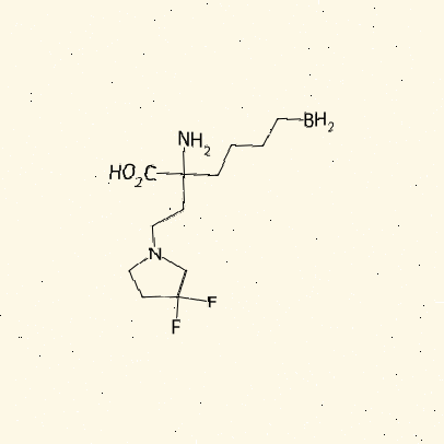 BCCCCC(N)(CCN1CCC(F)(F)C1)C(=O)O